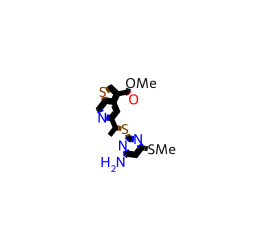 COC(=O)c1csc2cnc(C(C)Sc3nc(N)cc(SC)n3)cc12